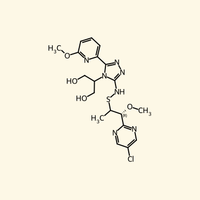 COc1cccc(-c2nnc(NSC(C)[C@H](OC)c3ncc(Cl)cn3)n2C(CO)CO)n1